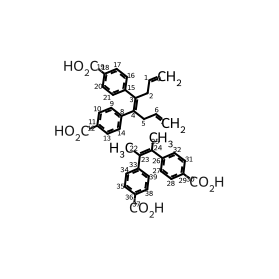 C=CCC(=C(CC=C)c1ccc(C(=O)O)cc1)c1ccc(C(=O)O)cc1.CC(=C(C)c1ccc(C(=O)O)cc1)c1ccc(C(=O)O)cc1